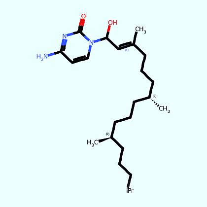 C/C(=C\C(O)n1ccc(N)nc1=O)CCC[C@H](C)CCC[C@H](C)CCCC(C)C